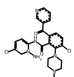 CN1CCN(c2c(Cl)ccc(C(=O)c3cccnc3)c2C(=O)NC2=CC=C(Cl)CN2N)CC1